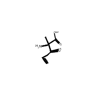 C=CC(=O)C(C)(N)C(=O)OC